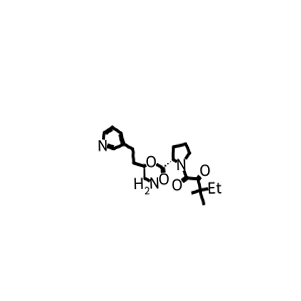 CCC(C)(C)C(=O)C(=O)N1CCC[C@H]1C(=O)O[C@@H](CN)CCc1cccnc1